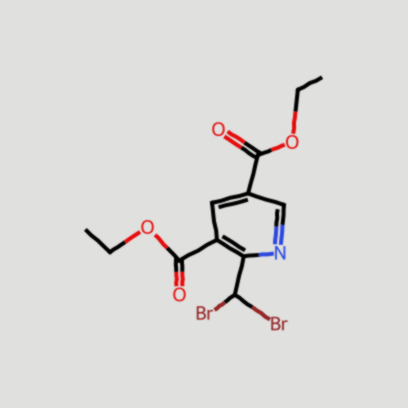 CCOC(=O)c1cnc(C(Br)Br)c(C(=O)OCC)c1